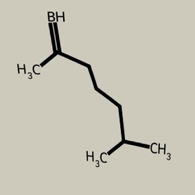 B=C(C)CCCC(C)C